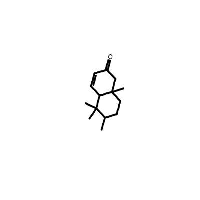 CC1CCC2(C)CC(=O)C=CC2C1(C)C